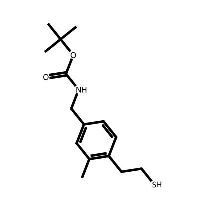 Cc1cc(CNC(=O)OC(C)(C)C)ccc1CCS